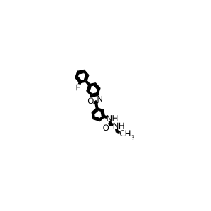 CCNC(=O)Nc1cccc(-c2nc3ccc(-c4ccccc4F)cc3o2)c1